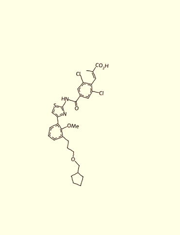 COc1c(CCCOCC2CCCC2)cccc1-c1csc(NC(=O)c2cc(Cl)c(C=C(C)C(=O)O)c(Cl)c2)n1